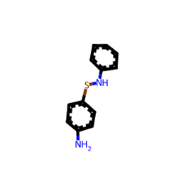 Nc1ccc(SNc2ccccc2)cc1